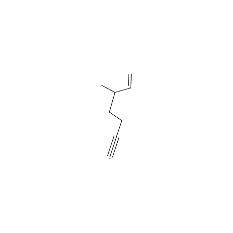 [C]#CCCC(C)C=C